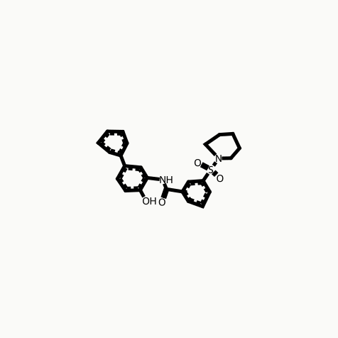 O=C(Nc1cc(-c2ccccc2)ccc1O)c1cccc(S(=O)(=O)N2CCCCC2)c1